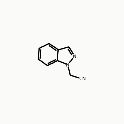 N#CCn1ncc2ccccc21